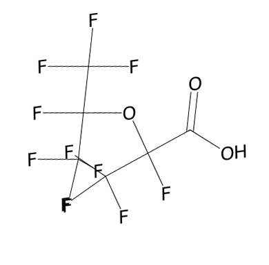 O=C(O)C(F)(OC(F)(C(F)(F)F)C(F)(F)F)C(F)(F)F